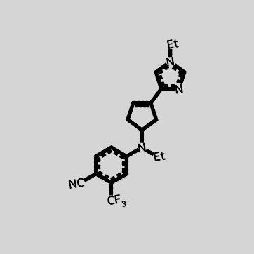 CCN(c1ccc(C#N)c(C(F)(F)F)c1)C1CC=C(c2cn(CC)cn2)C1